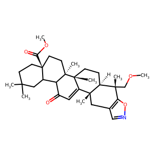 COC[C@]1(C)c2oncc2C[C@]2(C)C3=CC(=O)C4C5CC(C)(C)CC[C@]5(C(=O)OC)CC[C@@]4(C)[C@]3(C)CC[C@H]21